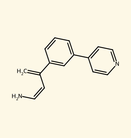 C=C(/C=C\N)c1cccc(-c2ccncc2)c1